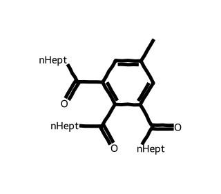 CCCCCCCC(=O)c1cc(C)cc(C(=O)CCCCCCC)c1C(=O)CCCCCCC